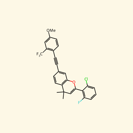 COc1ccc(C#Cc2ccc3c(c2)OC(c2c(F)cccc2Cl)=CC3(C)C)c(C(F)(F)F)c1